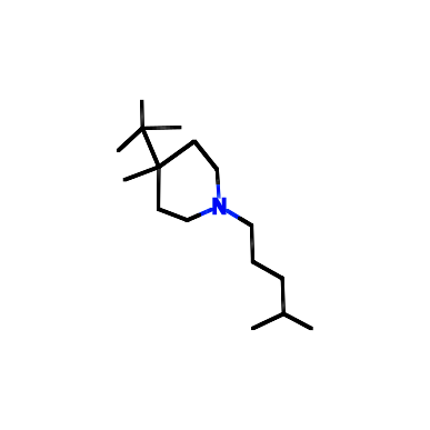 CC(C)CCCN1CCC(C)(C(C)(C)C)CC1